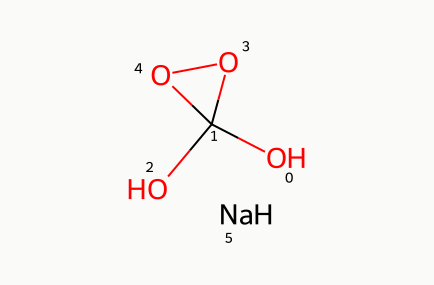 OC1(O)OO1.[NaH]